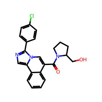 O=C(c1cn2c(-c3ccc(Cl)cc3)ncc2c2ccccc12)N1CCCC1CO